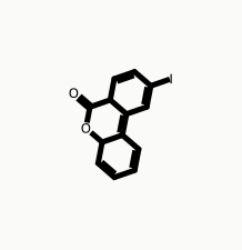 O=C1OC2C=CC=CC2=C2C=C(I)C=CC12